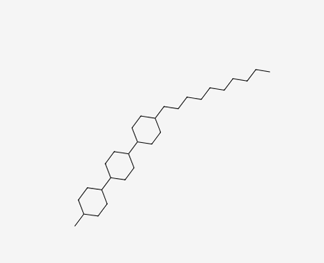 CCCCCCCCCCC1CCC(C2CCC(C3CCC(C)CC3)CC2)CC1